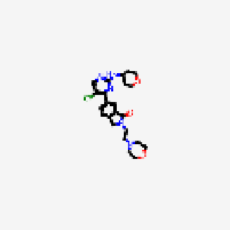 O=C1c2cc(-c3nc(NC4CCOCC4)ncc3Cl)ccc2CN1CCN1CCOCC1